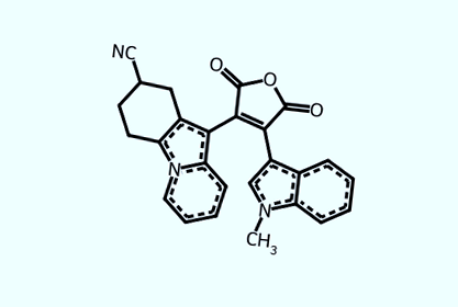 Cn1cc(C2=C(c3c4c(n5ccccc35)CCC(C#N)C4)C(=O)OC2=O)c2ccccc21